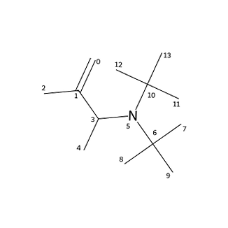 C=C(C)C(C)N(C(C)(C)C)C(C)(C)C